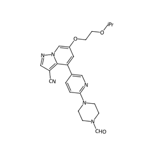 CC(C)OCCOc1cc(-c2ccc(N3CCN(C=O)CC3)nc2)c2c(C#N)cnn2c1